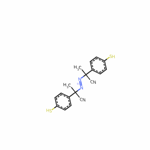 CC(C#N)(/N=N/C(C)(C#N)c1ccc(S)cc1)c1ccc(S)cc1